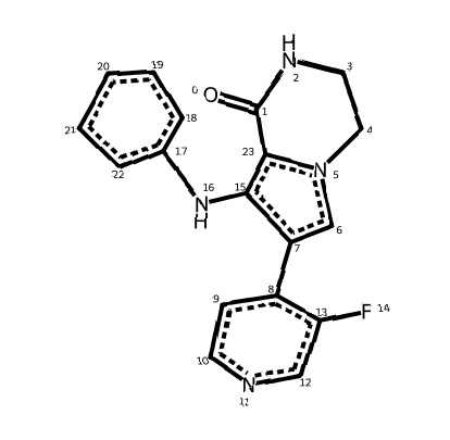 O=C1NCCn2cc(-c3ccncc3F)c(Nc3ccccc3)c21